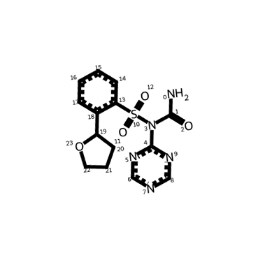 NC(=O)N(c1ncncn1)S(=O)(=O)c1ccccc1C1CCCO1